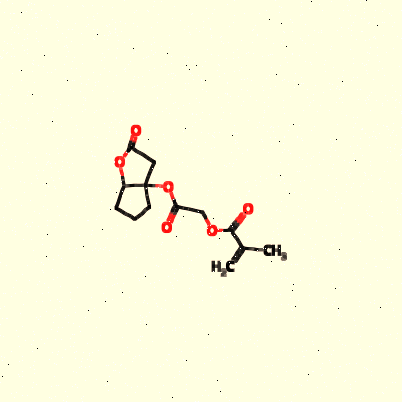 C=C(C)C(=O)OCC(=O)OC12CCCC1OC(=O)C2